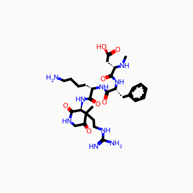 CN[C@@H](CC(=O)O)C(=O)N[C@H](Cc1ccccc1)C(=O)N[C@@H](CCCCN)C(=O)N[C@@H]1C(=O)NCC(=O)C1(C)CCNC(=N)N